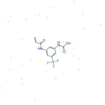 C=CC(=O)Nc1cc(NC(=O)O)cc(C(F)(F)F)c1